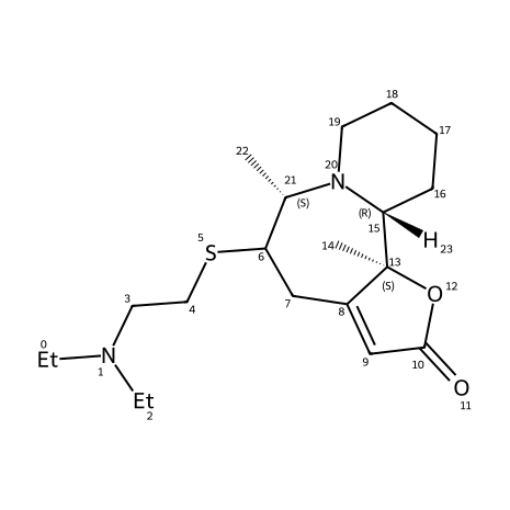 CCN(CC)CCSC1CC2=CC(=O)O[C@]2(C)[C@H]2CCCCN2[C@H]1C